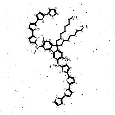 CCCCCCCCC1(CCCCCCCC)c2cc(C)c(N(C)c3ccc(-c4ccc(-c5ccc(-c6cccs6)s5)s4)s3)cc2-c2cc(N(C)c3ccc(-c4ccc(-c5ccc(-c6cccs6)s5)s4)s3)c(C)cc21